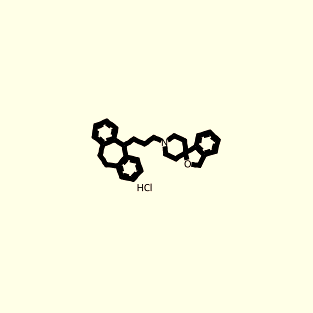 Cl.c1ccc2c(c1)CCc1ccccc1C2CCCN1CCC2(CC1)OCc1ccccc12